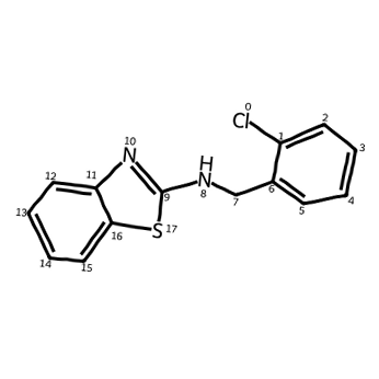 Clc1ccccc1CNc1nc2ccccc2s1